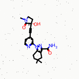 CN1CC[C@@](O)(C#Cc2ccnc(-n3nc(C(N)=O)c4c3CCC(C)(C)C4)c2)C1=O